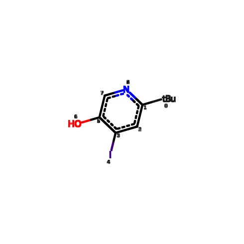 CC(C)(C)c1cc(I)c(O)cn1